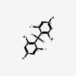 CC(C)C(C)(c1c(O)cc(O)cc1O)c1c(O)cc(O)cc1O